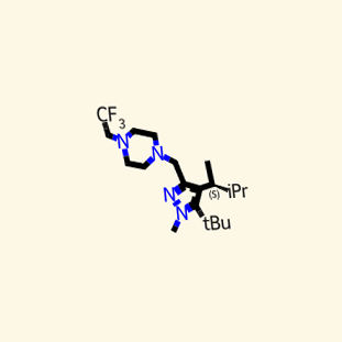 CC(C)[C@H](C)c1c(CN2CCN(CC(F)(F)F)CC2)nn(C)c1C(C)(C)C